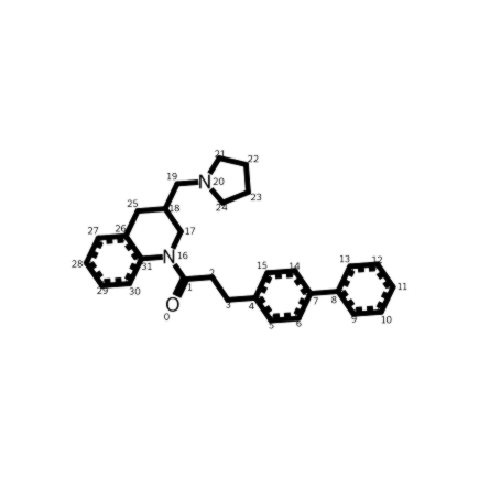 O=C(CCc1ccc(-c2ccccc2)cc1)N1CC(CN2CCCC2)Cc2ccccc21